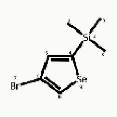 C[Si](C)(C)c1cc(Br)c[se]1